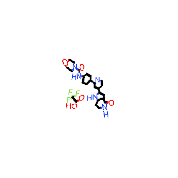 O=C(O)C(F)(F)F.O=C1NCCc2[nH]c(-c3ccnc(-c4ccc(NC(=O)N5CCOCC5)cc4)c3)cc21